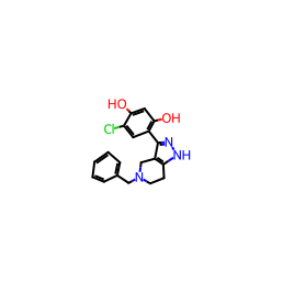 Oc1cc(O)c(-c2n[nH]c3c2CN(Cc2ccccc2)CC3)cc1Cl